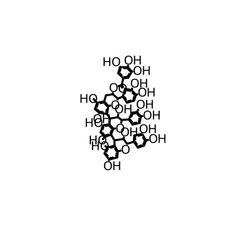 O=C(OC1Cc2c(O)cc(O)c(C3c4c(O)cc(O)c(C5c6c(O)cc(O)cc6OC(c6ccc(O)c(O)c6)C5O)c4OC(c4ccc(O)c(O)c4)C3O)c2OC1c1ccc(O)c(O)c1)c1cc(O)c(O)c(O)c1